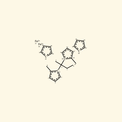 CCC(C)([c-]1cccc1C)[c-]1cccc1C.[Fe+2].[Fe+2].c1cc[cH-]c1.c1cc[cH-]c1